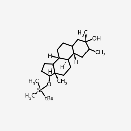 CC1C[C@H]2C(CC[C@@H]3[C@@H]2CC[C@]2(C)[C@@H](O[Si](C)(C)C(C)(C)C)CC[C@@H]32)C[C@]1(C)O